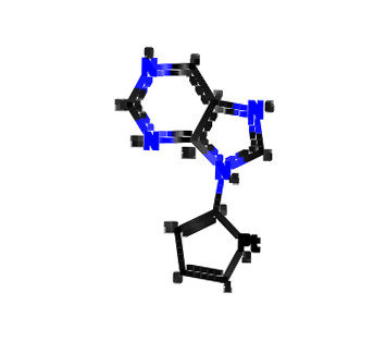 C1=[CH][Pt][C](n2cnc3cncnc32)=C1